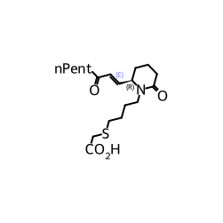 CCCCCC(=O)/C=C/[C@H]1CCCC(=O)N1CCCCSCC(=O)O